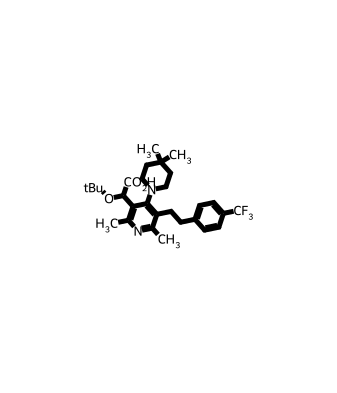 Cc1nc(C)c(C(OC(C)(C)C)C(=O)O)c(N2CCC(C)(C)CC2)c1CCc1ccc(C(F)(F)F)cc1